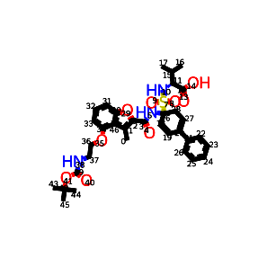 Cc1c(C(=O)NC2(S(=O)(=O)N[C@H](C(=O)O)C(C)C)C=CC(c3ccccc3)=CC2)oc2cccc(OCCNC(=O)OC(C)(C)C)c12